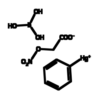 O=C([O-])CO[N+](=O)[O-].OB(O)O.[Hg+][c]1ccccc1